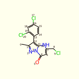 Cc1nn2c(=O)cc(CCl)[nH]c2c1-c1ccc(Cl)cc1Cl